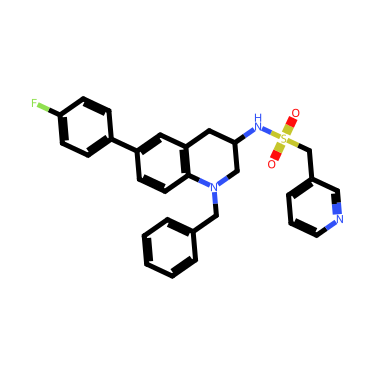 O=S(=O)(Cc1cccnc1)NC1Cc2cc(-c3ccc(F)cc3)ccc2N(Cc2ccccc2)C1